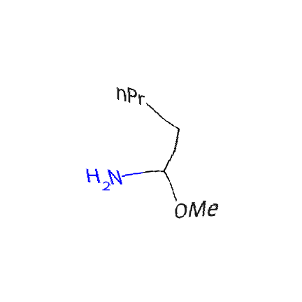 CCCCC(N)OC